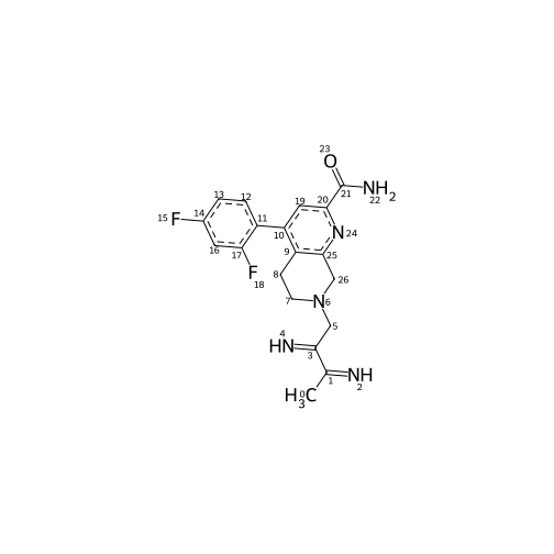 CC(=N)C(=N)CN1CCc2c(-c3ccc(F)cc3F)cc(C(N)=O)nc2C1